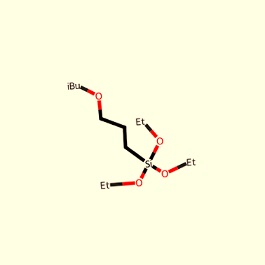 CCO[Si](CCCOC(C)CC)(OCC)OCC